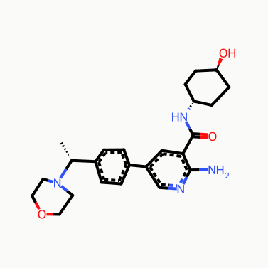 C[C@H](c1ccc(-c2cnc(N)c(C(=O)N[C@H]3CC[C@H](O)CC3)c2)cc1)N1CCOCC1